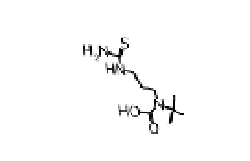 CC(C)(C)N(CCCNC(N)=S)C(=O)O